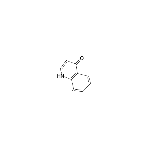 O=c1cc[nH]c2[c]cccc12